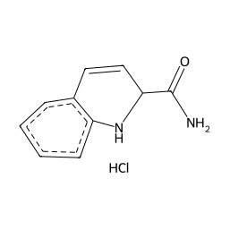 Cl.NC(=O)C1C=Cc2ccccc2N1